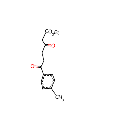 CCOC(=O)CC(=O)CCC(=O)c1ccc(C)cc1